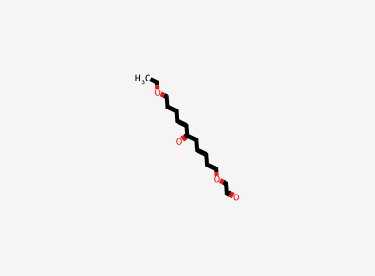 CCOCCCCCC(=O)CCCCCOCC=O